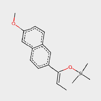 C/C=C(\O[Si](C)(C)C)c1ccc2cc(OC)ccc2c1